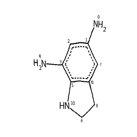 Nc1cc(N)c2c(c1)CCN2